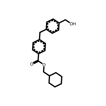 O=C(OCC1CCCCC1)c1ccc(Cc2ccc(CO)cc2)cc1